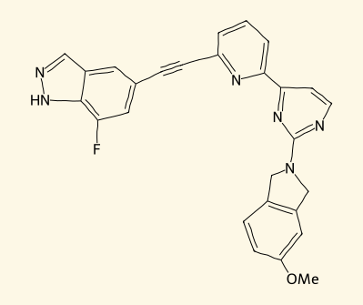 COc1ccc2c(c1)CN(c1nccc(-c3cccc(C#Cc4cc(F)c5[nH]ncc5c4)n3)n1)C2